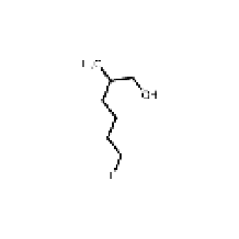 CC(CO)CCCCF